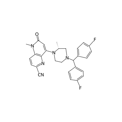 C[C@@H]1CN(C(c2ccc(F)cc2)c2ccc(F)cc2)CCN1c1cc(=O)n(C)c2ccc(C#N)nc12